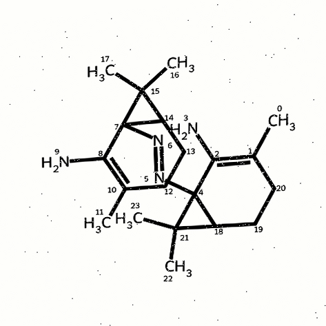 CC1=C(N)C2(N=NC34C(N)=C(C)CCC3C4(C)C)C(CC1)C2(C)C